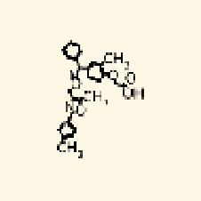 Cc1ccc(-c2nc(CO/N=C(/c3ccccc3)c3ccc(OCC(=O)O)c(C)c3)c(C)o2)cc1